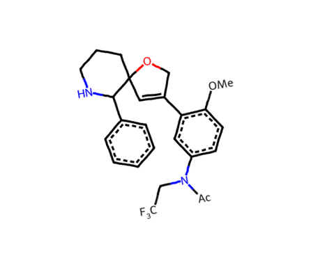 COc1ccc(N(CC(F)(F)F)C(C)=O)cc1C1=CC2(CCCNC2c2ccccc2)OC1